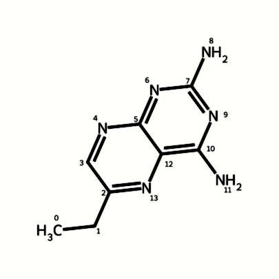 CCc1cnc2nc(N)nc(N)c2n1